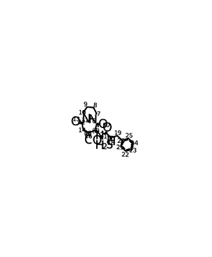 O=C(N[C@@H]1C(=O)N2CCCCN2C(=O)C[C@@H]1C(=O)O)C(=S)Cc1ccccc1